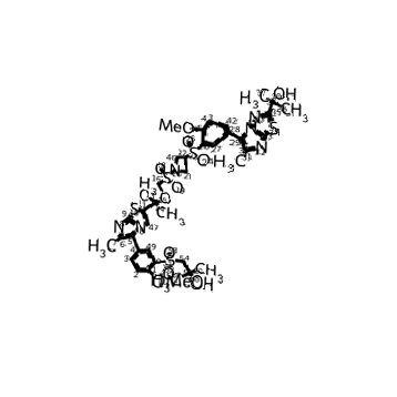 COc1ccc(-c2c(C)nc3sc(C(C)(C)OCS(=O)(=O)N4CC(S(=O)(=O)c5cc(-c6c(C)nc7sc(C(C)(C)O)nn67)ccc5OC)C4)cn23)cc1S(=O)(=O)CC(C)(C)O